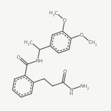 COc1ccc(C(C)NC(=O)c2ccccc2CCC(=O)NN)cc1OC